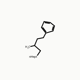 CCCCCCCCC(C)CCc1ccccc1